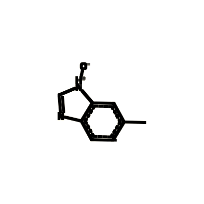 Cc1[c]cc2c(c1)[NH+]([O-])C=N2